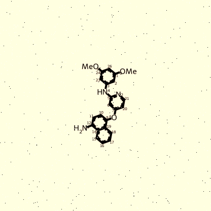 COc1cc(Nc2cc(Oc3ccc(N)c4ccccc34)ccn2)cc(OC)c1